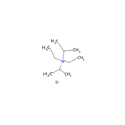 CC[N+](CC)(C(C)C)C(C)C.[Br-]